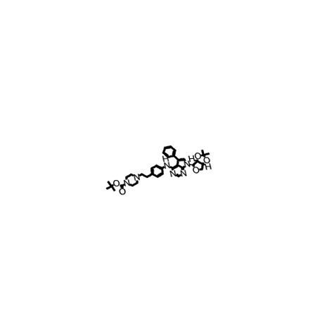 CC(C)(C)OC(=O)N1CCN(CCc2ccc(Nc3ncnc4c3c(-c3ccccc3)cn4[C@@H]3OC[C@H]4OC(C)(C)O[C@@H]34)cc2)CC1